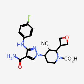 N#C[C@@H]1C(C2COC2)N(C(=O)O)CC[C@H]1n1cc(C(N)=O)c(Nc2ccc(F)cc2)n1